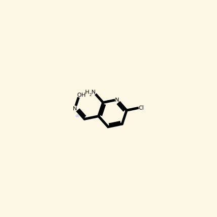 Nc1nc(Cl)ccc1/C=N\O